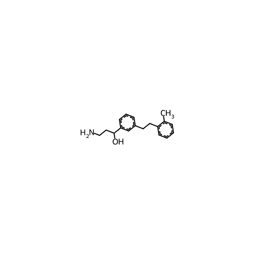 Cc1ccccc1CCc1cccc(C(O)CCN)c1